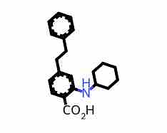 O=C(O)c1ccc(CCc2ccccc2)cc1NC1CCCCC1